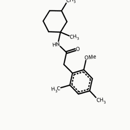 COc1cc(C)cc(C)c1CC(=O)NC1(C)CCCC(C)C1